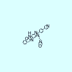 O=c1[nH]c2cc3nc(-c4ccc(-c5ccncc5)cc4)n(CCCN4CCOCC4)c3cc2nc1Cc1ccccc1